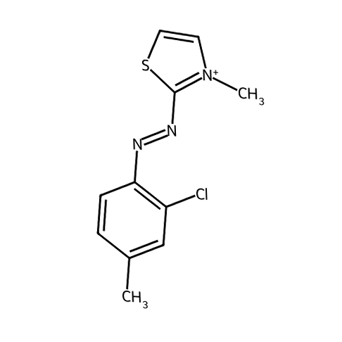 Cc1ccc(N=Nc2scc[n+]2C)c(Cl)c1